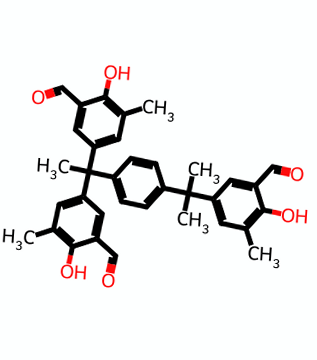 Cc1cc(C(C)(C)c2ccc(C(C)(c3cc(C)c(O)c(C=O)c3)c3cc(C)c(O)c(C=O)c3)cc2)cc(C=O)c1O